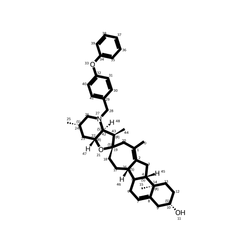 CC1=C2C[C@H]3C(CC=C4C[C@@H](O)CC[C@@]43C)[C@@H]2CC[C@@]2(C1)O[C@@H]1C[C@H](C)CN(Cc3ccc(Oc4ccccc4)cc3)[C@H]1[C@H]2C